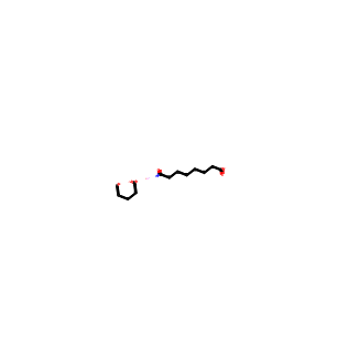 O=C(O)CCCCCCC(=O)NOC1CCCCO1